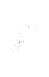 CN(CCOC(=O)C(C)(C)C)C(=O)OCc1ccc(NC(=O)[C@H](Cc2ccccc2)NC(=O)CCC(C)(C)C)cc1